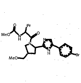 COCC1CC(c2ncc(-c3ccc(Br)cc3)[nH]2)N(C(=O)C(NC(=O)OC)C(C)C)C1